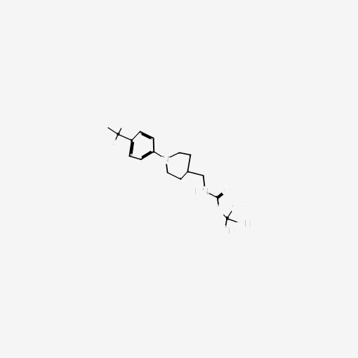 CC(C)(C)OC(=O)NCC1CCN(c2ccc(C(F)(F)F)cc2)CC1